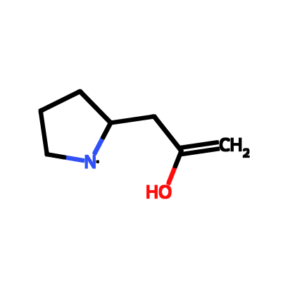 C=C(O)CC1CCC[N]1